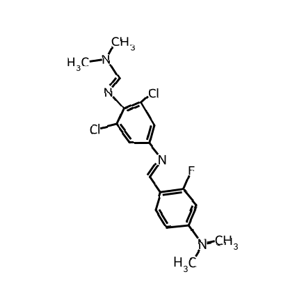 CN(C)C=Nc1c(Cl)cc(N=Cc2ccc(N(C)C)cc2F)cc1Cl